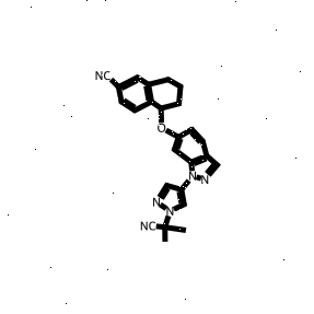 CC(C)(C#N)n1cc(-n2ncc3ccc(OC4CCCc5cc(C#N)ccc54)cc32)cn1